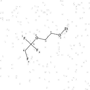 CCOCCOC(F)(F)CF